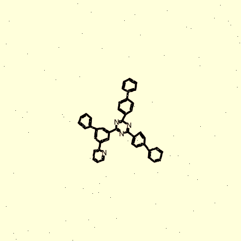 c1ccc(-c2ccc(-c3nc(-c4ccc(-c5ccccc5)cc4)nc(-c4cc(-c5ccccc5)cc(-c5ccccn5)c4)n3)cc2)cc1